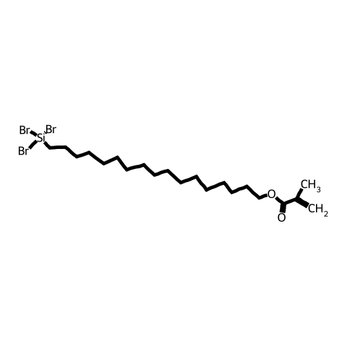 C=C(C)C(=O)OCCCCCCCCCCCCCCCCC[Si](Br)(Br)Br